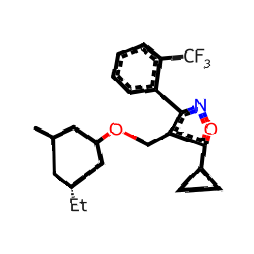 CC[C@@H]1CC(C)CC(OCc2c(-c3ccccc3C(F)(F)F)noc2C2CC2)C1